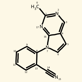 Cc1ncc2ccn(-c3ccccc3C#N)c2n1